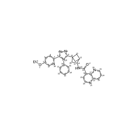 CCOc1ccc(-c2nnc(C34CC(C3)C(NC(=O)c3ccnc5cccnc35)C4)n2-c2ccccc2)nc1